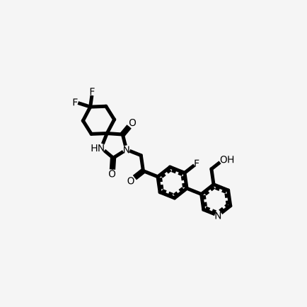 O=C(CN1C(=O)NC2(CCC(F)(F)CC2)C1=O)c1ccc(-c2cnccc2CO)c(F)c1